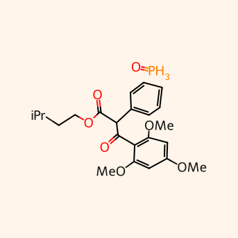 COc1cc(OC)c(C(=O)C(C(=O)OCCC(C)C)c2ccccc2)c(OC)c1.O=[PH3]